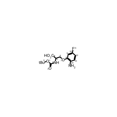 CC(C)(C)OC(=O)NC(COc1cc(F)ccc1N)C(=O)O